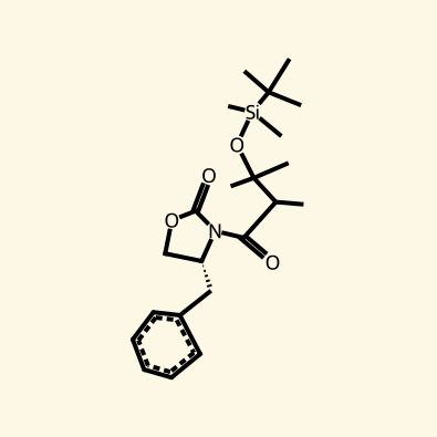 CC(C(=O)N1C(=O)OC[C@H]1Cc1ccccc1)C(C)(C)O[Si](C)(C)C(C)(C)C